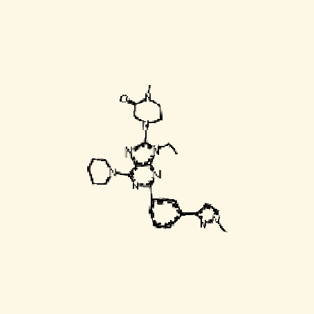 CCn1c(N2CCN(C)C(=O)C2)nc2c(N3CCCCC3)nc(-c3cccc(-c4ccn(C)n4)c3)nc21